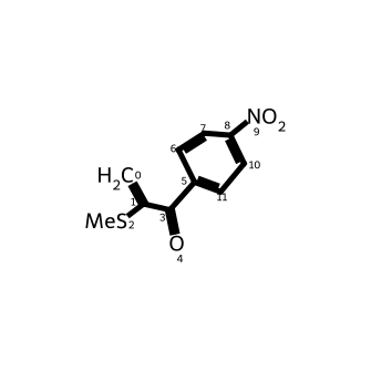 C=C(SC)C(=O)c1ccc([N+](=O)[O-])cc1